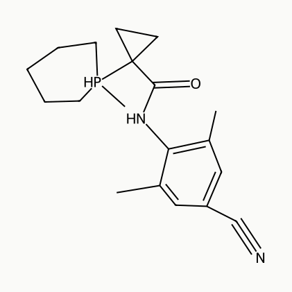 Cc1cc(C#N)cc(C)c1NC(=O)C1([PH]2(C)CCCCC2)CC1